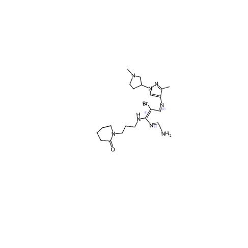 Cc1nn(C2CCN(C)C2)cc1\N=C/C(Br)=C(\N=C\N)NCCCN1CCCCC1=O